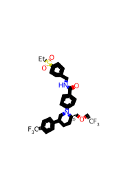 CCS(=O)(=O)c1ccc(CNC(=O)c2ccc(N3CC(c4ccc(C(F)(F)F)cc4)CC[C@H]3COCC(F)(F)F)cc2)cc1